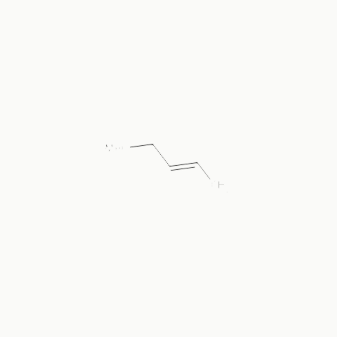 [CH2]C=CCO[CH2]